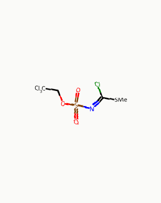 CS/C(Cl)=N/S(=O)(=O)OCC(Cl)(Cl)Cl